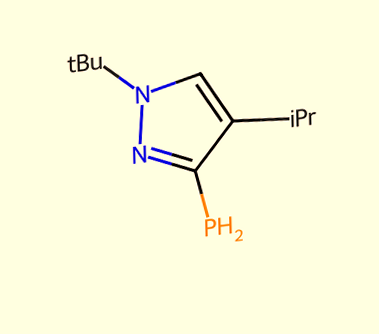 CC(C)c1cn(C(C)(C)C)nc1P